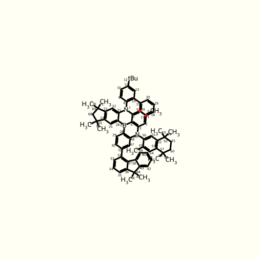 Cc1cc2c3c(c1)N(c1ccc(C(C)(C)C)cc1-c1ccccc1)c1cc4c(cc1B3c1ccc(-c3cccc5c3-c3ccccc3C5(C)C)cc1N2c1cc2c(cc1C)C(C)(C)CCC2(C)C)C(C)(C)CC4(C)C